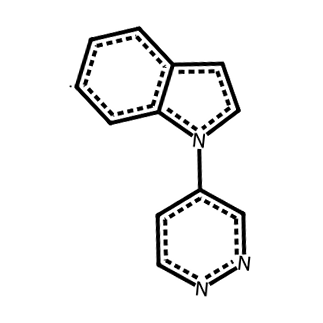 [c]1ccc2ccn(-c3ccnnc3)c2c1